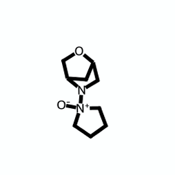 [O-][N+]1(N2CC3CC2CO3)CCCC1